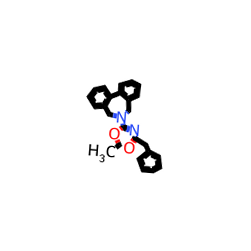 CCO/C(=N\C(=O)Cc1ccccc1)N1Cc2ccccc2-c2ccccc2C1